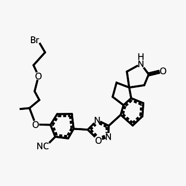 CC(CCOCCBr)Oc1ccc(-c2nc(-c3cccc4c3CCC43CNC(=O)C3)no2)cc1C#N